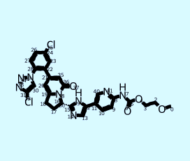 COCCOC(=O)Nc1ccc(-c2cnc([C@@H]3CCc4cc(-c5cc(Cl)ccc5-n5cc(Cl)nn5)cc(=O)n43)[nH]2)cn1